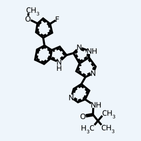 COc1cc(F)cc(-c2cccc3[nH]c(-c4n[nH]c5cnc(-c6cncc(NC(=O)C(C)(C)C)c6)cc45)cc23)c1